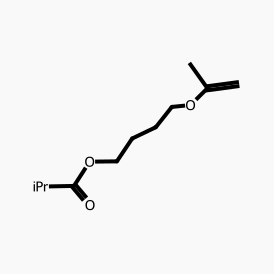 C=C(C)OCCCCOC(=O)C(C)C